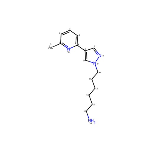 CC(=O)c1cccc(-c2cnn(CCCCCCN)c2)n1